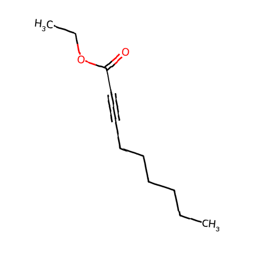 CCCCCCC#CC(=O)OCC